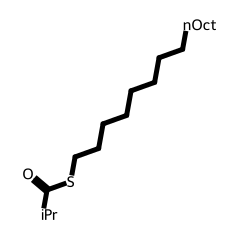 CCCCCCCCCCCCCCCCSC(=O)C(C)C